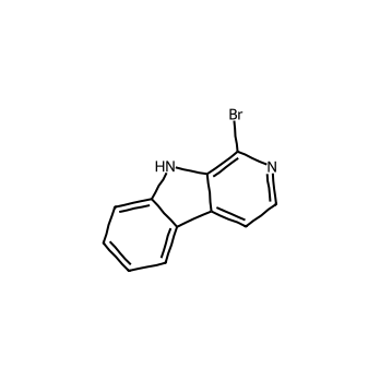 Brc1nccc2c1[nH]c1ccccc12